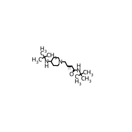 CC(C)(C)NC(=O)/C=C/CN1CCC(NC(C)(C)C)CC1